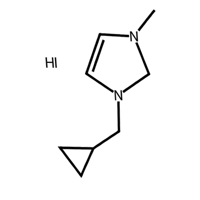 CN1C=CN(CC2CC2)C1.I